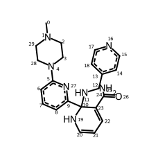 CN1CCN(c2cccc(C3(NCc4ccncc4)NC=CC=C3C(N)=O)n2)CC1